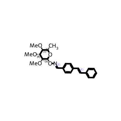 CO[C@@H]1[C@@H](OC)[C@H](C)O[C@@H](O/N=C/c2ccc(/C=C/c3ccccc3)cc2)[C@@H]1OC